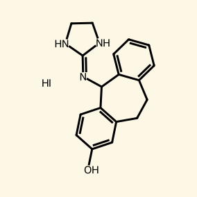 I.Oc1ccc2c(c1)CCc1ccccc1C2N=C1NCCN1